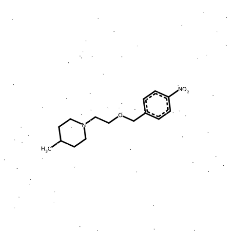 CC1CCN(CCOCc2ccc([N+](=O)[O-])cc2)CC1